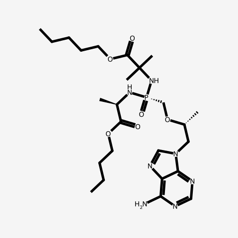 CCCCCOC(=O)C(C)(C)N[P@](=O)(CO[C@H](C)Cn1cnc2c(N)ncnc21)N[C@H](C)C(=O)OCCCC